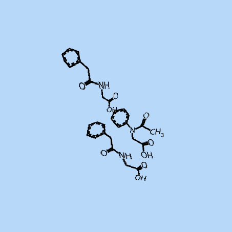 CC(=O)N(CC(=O)O)c1ccccc1.O=C(O)CNC(=O)Cc1ccccc1.O=C(O)CNC(=O)Cc1ccccc1